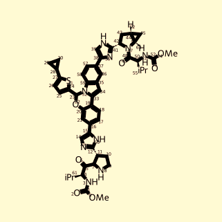 COC(=O)N[C@H](C(=O)C1NCC[C@H]1c1ncc(-c2ccc3c(c2)OC(c2ccc(C4CC4)s2)n2c-3cc3cc(-c4c[nH]c([C@@H]5C[C@H]6C[C@H]6N5C(=O)[C@@H](NC(=O)OC)C(C)C)n4)ccc32)[nH]1)C(C)C